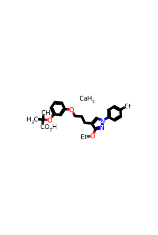 CCOc1nn(-c2ccc(CC)cc2)cc1CCCOc1cccc(OC(C)(C)C(=O)O)c1.[CaH2]